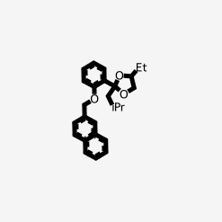 CCC1COC(CC(C)C)(c2ccccc2OCc2ccc3ccccc3c2)O1